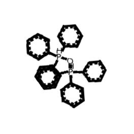 c1ccc([PH](O[PH](c2ccccc2)(c2ccccc2)c2ccccc2)(c2ccccc2)c2ccccc2)cc1